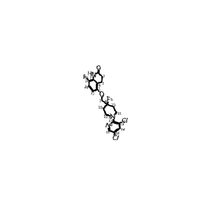 O=C1CCc2c(OCC3(F)CCN(c4ncc(Cl)cc4Cl)CC3)ccc(F)c2N1